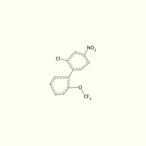 O=[N+]([O-])c1ccc(-c2ccccc2OC(F)(F)F)c(Cl)c1